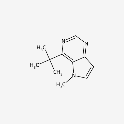 Cn1ccc2ncnc(C(C)(C)C)c21